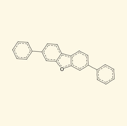 c1ccc(-c2ccc3c(c2)oc2cc(-c4ccccc4)ccc23)cc1